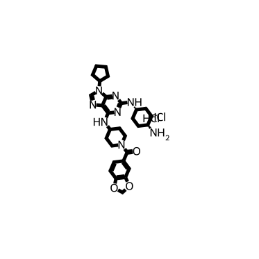 Cl.Cl.N[C@H]1CC[C@H](Nc2nc(NC3CCN(C(=O)c4ccc5c(c4)OCO5)CC3)c3ncn(C4CCCC4)c3n2)CC1